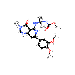 COC(=O)NC(C)(C)Nc1nc(-c2ccc(OC)c(OC)c2)cc2ncn(C)c(=O)c12